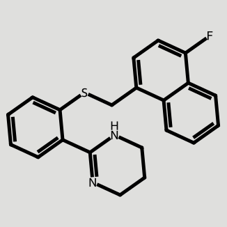 Fc1ccc(CSc2ccccc2C2=NCCCN2)c2ccccc12